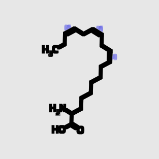 CC/C=C\C/C=C\C/C=C\CCCCCCC(N)C(=O)O